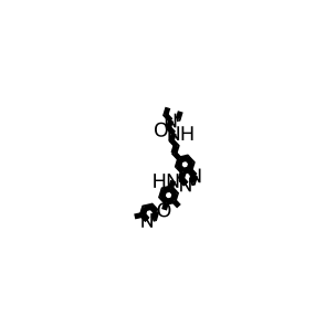 CCN(CC)C(=O)NC/C=C/c1ccc2ncnc(Nc3ccc(Oc4ccc(C)nc4)c(C)c3)c2c1